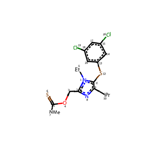 CCn1c(COC(=S)NC)nc(C(C)C)c1Sc1cc(Cl)cc(Cl)c1